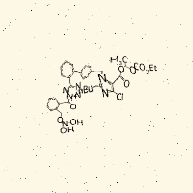 CCCCc1nc(Cl)c(C(=O)OC(C)OC(=O)OCC)n1Cc1ccc(-c2ccccc2-c2nnn(C(=O)c3ccccc3CON(O)O)n2)cc1